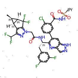 CC(C)S(=O)(=O)NC(=O)c1cc(-c2cc3[nH]ncc3nc2[C@H](Cc2cc(F)cc(F)c2)NC(=O)Cn2nc(C(F)F)c3c2C(F)(F)[C@@H]2[C@H](C)[C@H]32)ccc1Cl